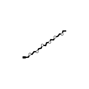 C#CCOCCOCCOCCOCCOCCOCC